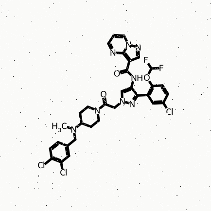 CN(Cc1ccc(Cl)c(Cl)c1)C1CCN(C(=O)Cn2cc(NC(=O)c3cnn4cccnc34)c(-c3cc(Cl)ccc3OC(F)F)n2)CC1